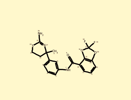 CC1(c2cccc(NC(=O)c3cccc4c3OC(F)(F)O4)c2)CCSC(N)=N1